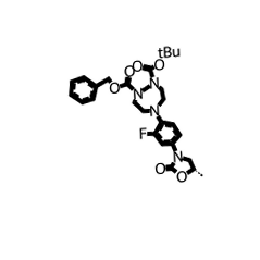 C[C@H]1CN(c2ccc(N3CCN(C(=O)OCc4ccccc4)N(C(=O)OC(C)(C)C)CC3)c(F)c2)C(=O)O1